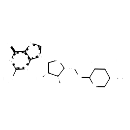 Nc1nc2c(ncn2[C@@H]2O[C@H](COC3OC[C@@H](O)[C@@H](O)[C@H]3O)[C@@H](O)[C@H]2O)c(=O)[nH]1